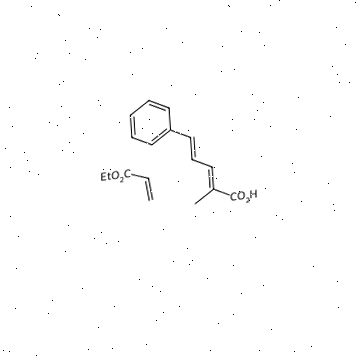 C=CC(=O)OCC.CC(=CC=Cc1ccccc1)C(=O)O